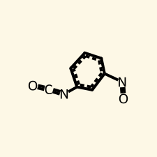 O=C=Nc1cccc(N=O)c1